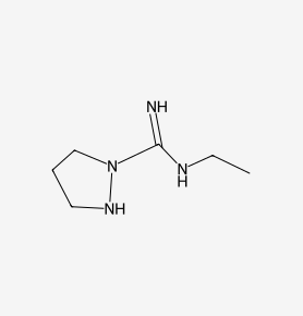 CCNC(=N)N1CCCN1